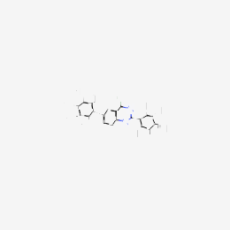 [2H]c1c([2H])c([2H])c(-c2ccc3nc(-c4c([2H])c([2H])c([2H])c([2H])c4[2H])nc(Cl)c3c2)c([2H])c1[2H]